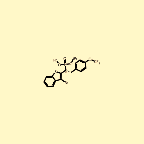 CC(C)OP(=O)(OC(C)C)[C@H](Cc1ccc(OC(F)(F)F)cc1)c1sc2ccccc2c1Br